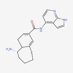 N[C@H]1CCCCC2=CC(C(=O)Nc3ccnc4[nH]ccc34)=CCC21